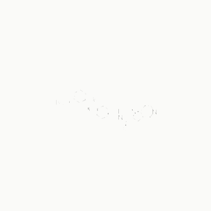 CC(C)COc1cc(F)cc(S(=O)(=O)c2ccc(CNC(=O)c3cc4cnccc4[nH]3)cc2)c1